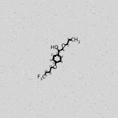 C=CCOCC(O)c1ccc(OCCCC(F)(F)F)cc1